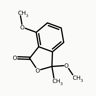 COc1cccc2c1C(=O)OC2(C)OC